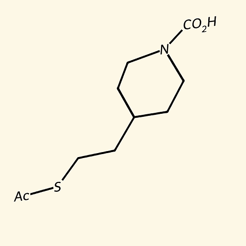 CC(=O)SCCC1CCN(C(=O)O)CC1